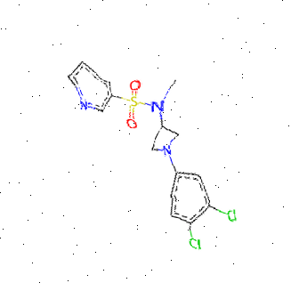 CN(C1CN(c2ccc(Cl)c(Cl)c2)C1)S(=O)(=O)c1cccnc1